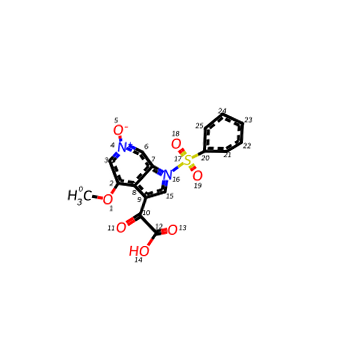 COc1c[n+]([O-])cc2c1c(C(=O)C(=O)O)cn2S(=O)(=O)c1ccccc1